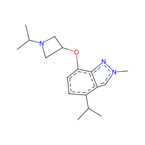 CC(C)c1ccc(OC2CN(C(C)C)C2)c2nn(C)cc12